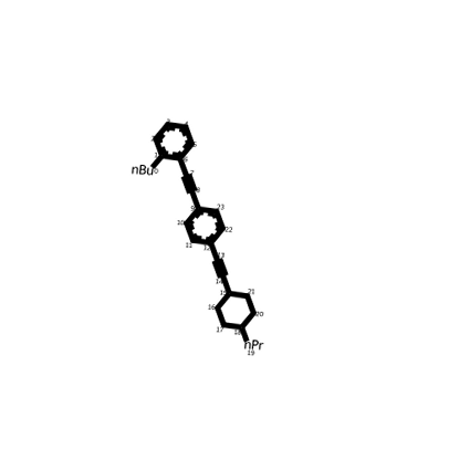 CCCCc1ccccc1C#Cc1ccc(C#CC2CCC(CCC)CC2)cc1